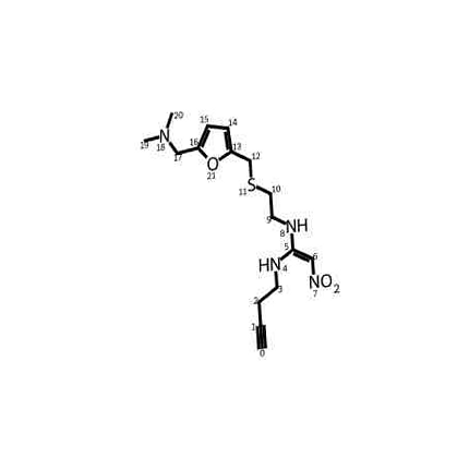 C#CCCNC(=C[N+](=O)[O-])NCCSCc1ccc(CN(C)C)o1